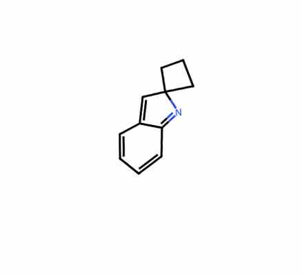 C1=c2ccccc2=NC12CCC2